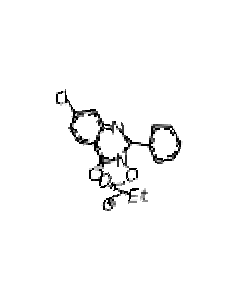 CCS(=O)(=O)On1c(-c2ccccc2)nc2cc(Cl)ccc2c1=O